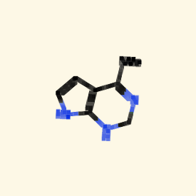 CNC1=NCNc2[nH]ccc21